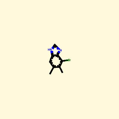 Cc1cc2[nH]cnc2c(Br)c1C